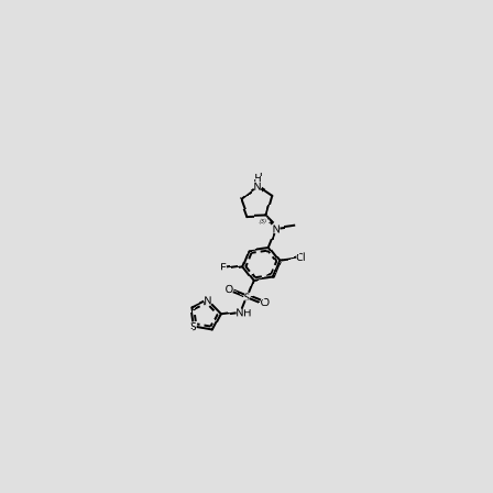 CN(c1cc(F)c(S(=O)(=O)Nc2cscn2)cc1Cl)[C@H]1CCNC1